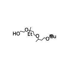 CC[C@@H](C)OCCC(C)OCCC(C)(CC)OCCO